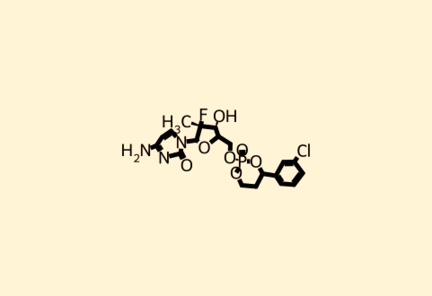 C[C@]1(F)C(n2ccc(N)nc2=O)OC(CO[P@@]2(=O)OCCC(c3cccc(Cl)c3)O2)[C@H]1O